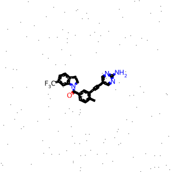 Cc1ccc(C(=O)N2CCc3ccc(C(F)(F)F)cc32)cc1C#Cc1cnc(N)nc1